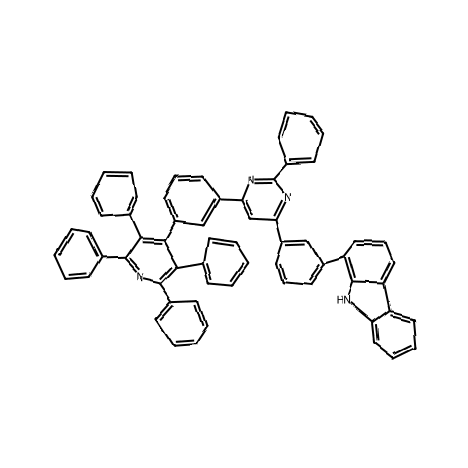 c1ccc(-c2nc(-c3cccc(-c4c(-c5ccccc5)c(-c5ccccc5)nc(-c5ccccc5)c4-c4ccccc4)c3)cc(-c3cccc(-c4cccc5c4[nH]c4ccccc45)c3)n2)cc1